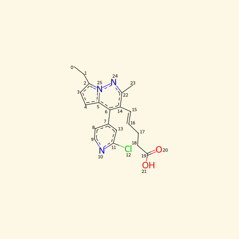 CCc1ccc2c(-c3ccnc(Cl)c3)c(C=CCCC(=O)O)c(C)nn12